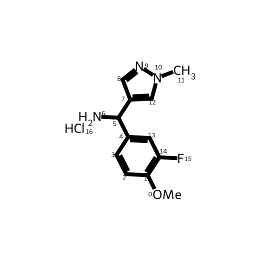 COc1ccc(C(N)c2cnn(C)c2)cc1F.Cl